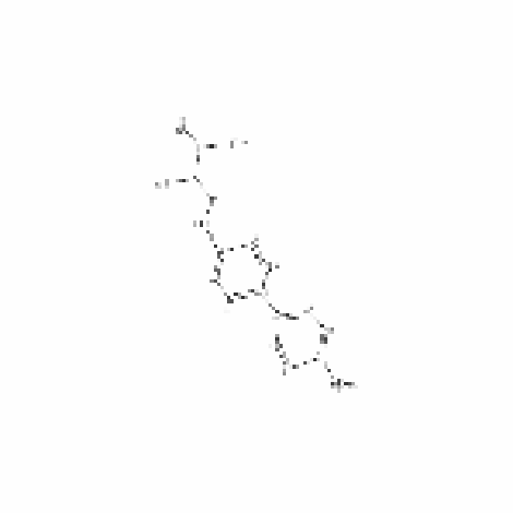 CCCCCCCCCCc1ccc(-c2ncc(OCC(F)C(F)CCCC)cn2)cc1